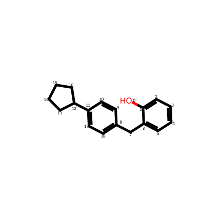 Oc1ccccc1Cc1ccc(C2CCCC2)cc1